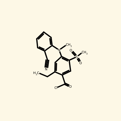 CCc1cc(N(C)c2ccccc2C#N)c(S(C)(=O)=O)cc1C(=O)Cl